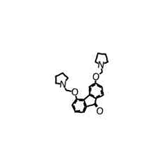 O=C1c2ccc(OCN3CCCC3)cc2-c2c(OCN3CCCC3)cccc21